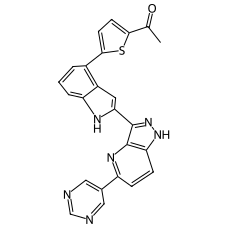 CC(=O)c1ccc(-c2cccc3[nH]c(-c4n[nH]c5ccc(-c6cncnc6)nc45)cc23)s1